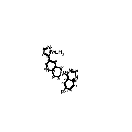 Cn1nccc1-c1cnc2c(c1)CN(c1ncnc3ccc(F)cc13)CC2